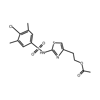 CC(=O)OCCc1csc(NS(=O)(=O)c2cc(C)c(Cl)c(C)c2)n1